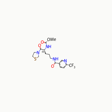 COC(=O)N[C@@H](CCCNC(=O)c1ccc(C(F)(F)F)nc1)C(=O)N1CCSC1